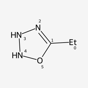 CCC1=NNNO1